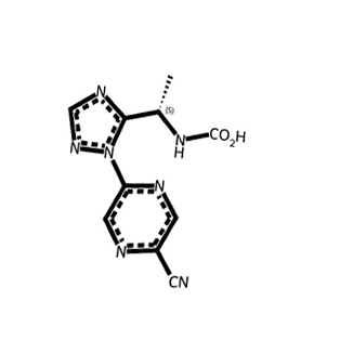 C[C@H](NC(=O)O)c1ncnn1-c1cnc(C#N)cn1